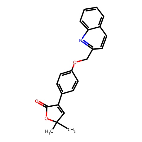 CC1(C)C=C(c2ccc(OCc3ccc4ccccc4n3)cc2)C(=O)O1